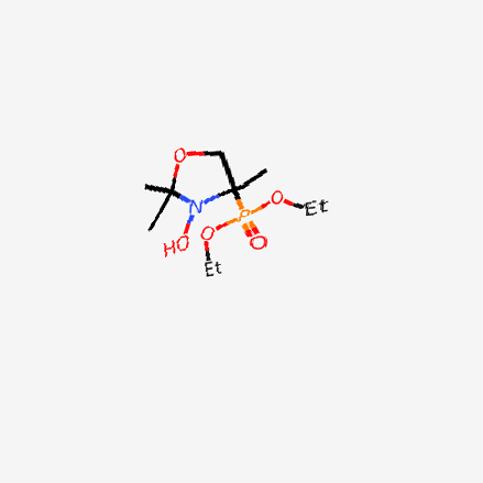 CCOP(=O)(OCC)C1(C)COC(C)(C)N1O